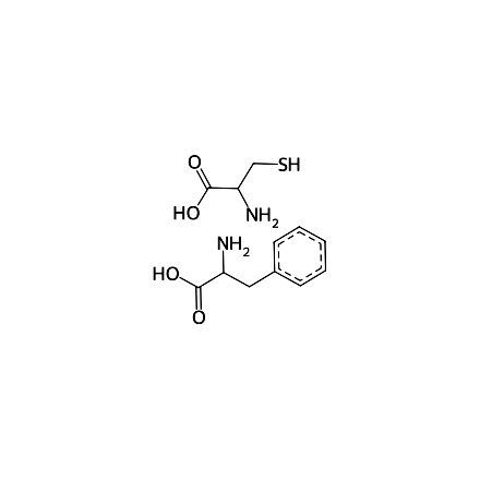 NC(CS)C(=O)O.NC(Cc1ccccc1)C(=O)O